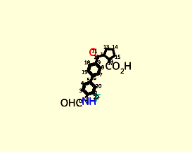 O=CNc1ccc(-c2ccc(C(=O)C3CCCC3C(=O)O)cc2)cc1F